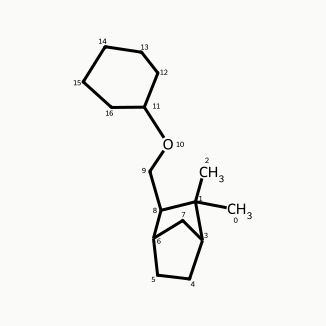 CC1(C)C2CCC(C2)C1COC1CCCCC1